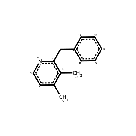 Cc1ccnc(Cc2ccccc2)c1C